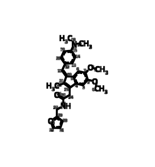 COc1cc2c(cc1OC)/C(=C\c1ccc(N(C)C)cc1)C(C)=C2CC(=O)NCc1ccco1